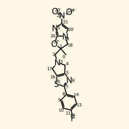 CC1(CN2Cc3nc(-c4ccc(F)cc4)sc3C2)Cn2cc([N+](=O)[O-])nc2O1